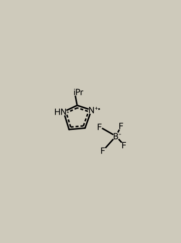 CC(C)c1[nH]cc[n+]1C.F[B-](F)(F)F